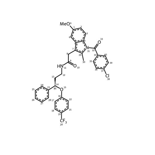 COc1ccc2c(c1)c(CC(=O)NCC[C@@H](Oc1ccc(C(F)(F)F)cc1)c1ccccc1)c(C)n2C(=O)c1ccc(Cl)cc1